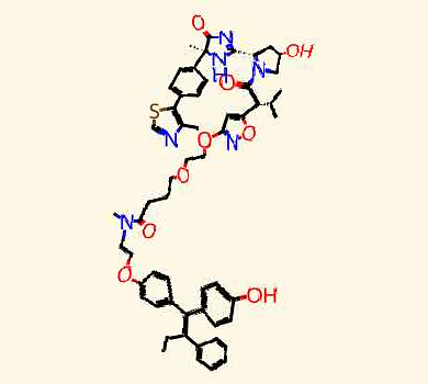 CC/C(=C(/c1ccc(O)cc1)c1ccc(OCCN(C)C(=O)CCCOCCOc2cc([C@H](C(=O)N3C[C@H](O)C[C@H]3C3=NC(=O)[C@](C)(c4ccc(-c5scnc5C)cc4)N3)C(C)C)on2)cc1)c1ccccc1